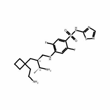 C[C@@H](N)[C@H](CNc1cc(F)c(S(=O)(=O)Nc2ncns2)cc1F)CC1(CCN)CCC1